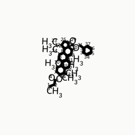 CCCC(=O)O[C@H]1CC[C@@]2(C)C(CC[C@]3(C)C2CCC2C4[C@H](C(C)C)CC[C@]4(C(=O)OCc4ccccc4)CC[C@]23C)C1(C)C